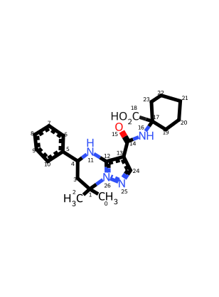 CC1(C)CC(c2ccccc2)Nc2c(C(=O)NC3(C(=O)O)CCCCC3)cnn21